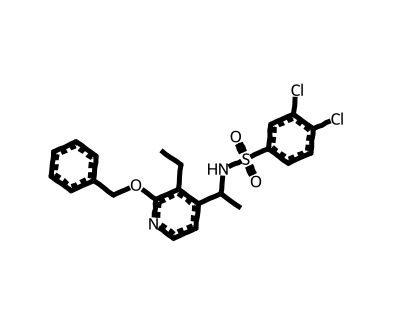 CCc1c(C(C)NS(=O)(=O)c2ccc(Cl)c(Cl)c2)ccnc1OCc1ccccc1